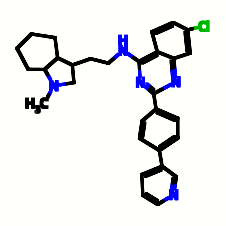 CN1CC(CCNc2nc(-c3ccc(-c4cccnc4)cc3)nc3cc(Cl)ccc23)C2CCCCC21